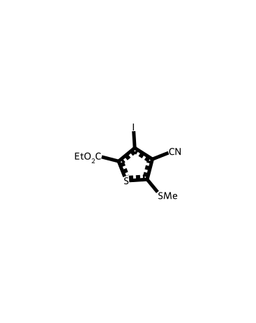 CCOC(=O)c1sc(SC)c(C#N)c1I